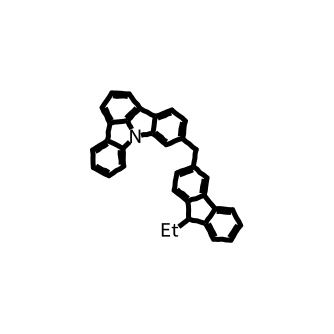 CCC1c2ccccc2-c2cc(Cc3ccc4c5cccc6c7ccccc7n(c4c3)c65)ccc21